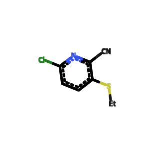 CCSc1ccc(Cl)nc1C#N